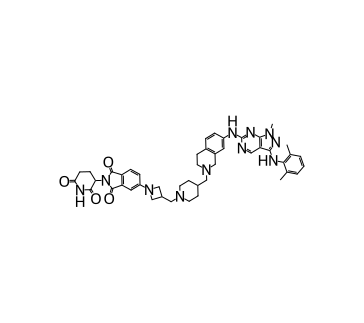 Cc1cccc(C)c1Nc1nn(C)c2nc(Nc3ccc4c(c3)CN(CC3CCN(CC5CN(c6ccc7c(c6)C(=O)N(C6CCC(=O)NC6=O)C7=O)C5)CC3)CC4)ncc12